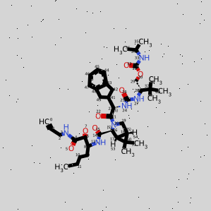 C#CCNC(=O)C(=O)C(CCCC)NC(=O)[C@@H]1[C@@H]2[C@H](CN1C(=O)[C@@H](NC(=O)N[C@H](COC(=O)NC(C)C)C(C)(C)C)C1Cc3ccccc3C1)C2(C)C